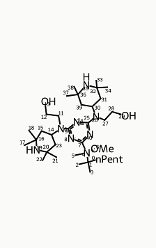 CCCCCC(C)(C)[N+](C)(OC)c1nc(N(CCO)C2CC(C)(C)NC(C)(C)C2)nc(N(CCO)C2CC(C)(C)NC(C)(C)C2)n1